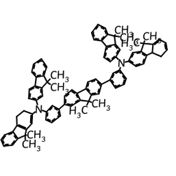 CC1(C)C2=C(CCC(N(c3cccc(-c4ccc5c(c4)C(C)(C)c4cc(-c6cccc(N(c7ccc8c(c7)C(C)(C)C7=CC=CCC78)c7ccc8c(c7)C(C)(C)c7ccccc7-8)c6)ccc4-5)c3)c3ccc4c(c3)C(C)(C)c3ccccc3-4)=C2)c2ccccc21